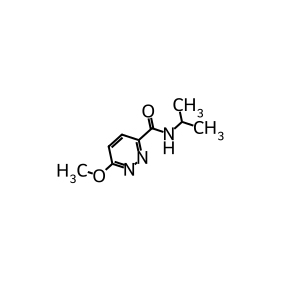 COc1ccc(C(=O)NC(C)C)nn1